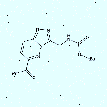 CC(C)C(=O)c1ccc2nnc(CNC(=O)OC(C)(C)C)n2n1